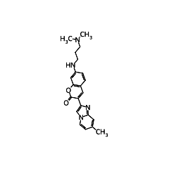 Cc1ccn2cc(-c3cc4ccc(NCCCN(C)C)cc4oc3=O)nc2c1